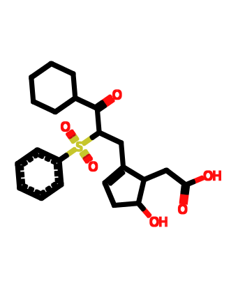 O=C(O)CC1C(CC(C(=O)C2CCCCC2)S(=O)(=O)c2ccccc2)=CCC1O